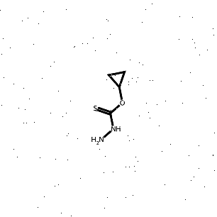 NNC(=S)OC1CC1